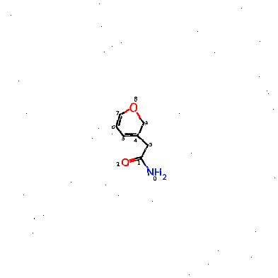 NC(=O)CC1=CC=COC1